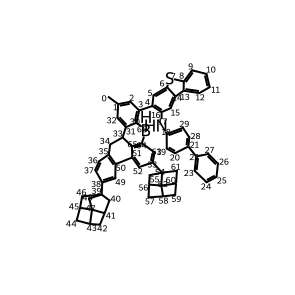 Cc1cc(-c2cc3sc4ccccc4c3cc2Nc2ccc(-c3ccccc3)cc2)c2c(c1)C1Cc3ccc(C45CC6CC7CC(C4)C76C5)cc3-c3cc(C45CC6CC7CC(C4)C765)cc(c31)B2